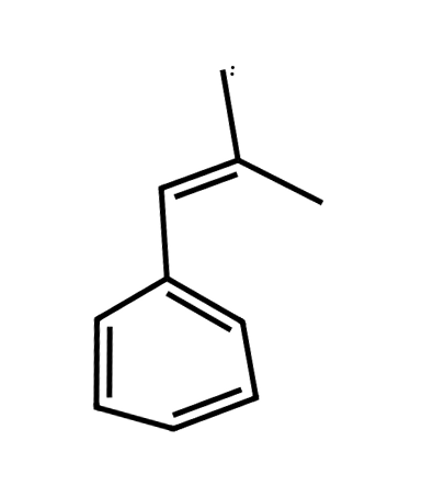 [CH]C(C)=Cc1ccccc1